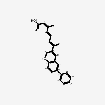 CC(=C/C(=O)O)/C=C/C=C(\C)C1=Cc2cc(-c3ccccc3)ccc2OC1